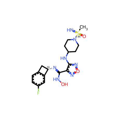 C[S@@](=N)(=O)N1CCC(Nc2nonc2C(=N[C@H]2Cc3ccc(F)cc32)NO)CC1